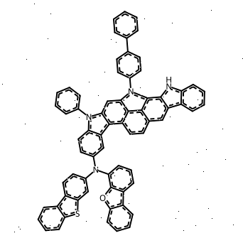 c1ccc(-c2ccc(-n3c4cc5c(c6ccc7cc8c9ccccc9[nH]c8c3c7c64)c3cc(N(c4ccc6c(c4)sc4ccccc46)c4cccc6c4oc4ccccc46)ccc3n5-c3ccccc3)cc2)cc1